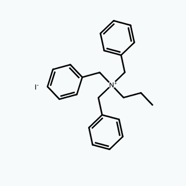 CCC[N+](Cc1ccccc1)(Cc1ccccc1)Cc1ccccc1.[I-]